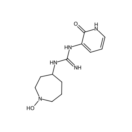 N=C(Nc1ccc[nH]c1=O)NC1CCCN(O)CC1